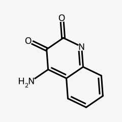 NC1=c2ccccc2=NC(=O)C1=O